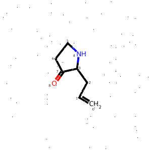 C=CCC1NCCC1=O